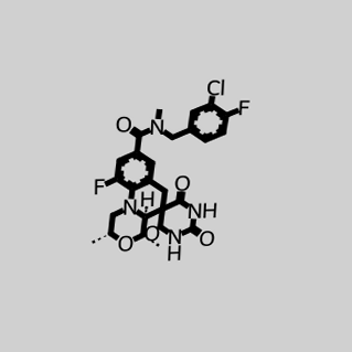 C[C@@H]1CN2c3c(F)cc(C(=O)N(C)Cc4ccc(F)c(Cl)c4)cc3CC3(C(=O)NC(=O)NC3=O)[C@H]2[C@H](C)O1